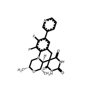 C[C@@H]1CN2c3c(cc(-c4cccnc4)c(F)c3F)CC3(C(=O)NC(=O)NC3=O)[C@H]2[C@H](C)O1